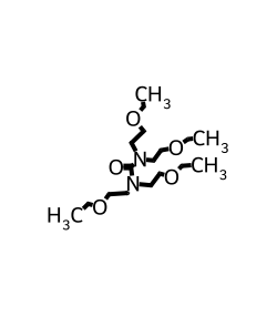 CCOCCN(CCOCC)C(=O)N(CCOCC)CCOCC